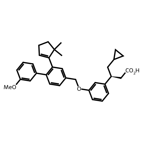 COc1cccc(-c2ccc(COc3cccc([C@H](CC(=O)O)CC4CC4)c3)cc2C2=CCCC2(C)C)c1